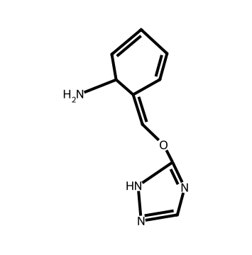 NC1C=CC=C/C1=C\Oc1ncn[nH]1